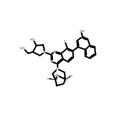 OCC1CN(c2nc(N3C[C@H]4CC[C@@H](C3)N4)c3ccc(-c4cc(O)cc5ccccc45)c(F)c3n2)CC1O